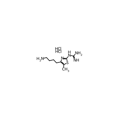 Cc1sc(NC(=N)N)nc1CCCCN.Cl.Cl